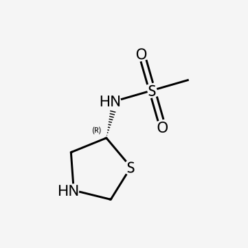 CS(=O)(=O)N[C@H]1CNCS1